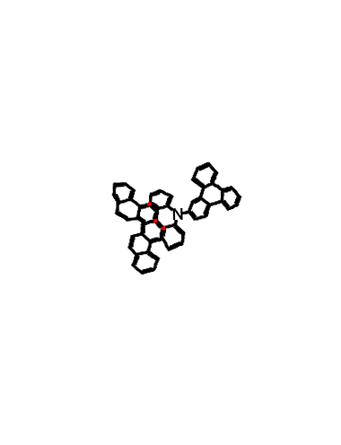 c1ccc(N(c2ccc3c4ccccc4c4ccccc4c3c2)c2ccccc2-c2ccc3c(ccc4ccccc43)c2)c(-c2ccc3c(ccc4ccccc43)c2)c1